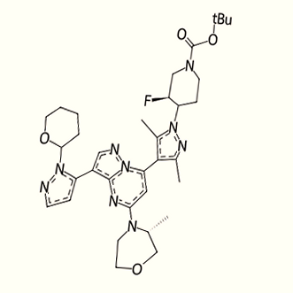 Cc1nn(C2CCN(C(=O)OC(C)(C)C)C[C@@H]2F)c(C)c1-c1cc(N2CCOC[C@H]2C)nc2c(-c3ccnn3C3CCCCO3)cnn12